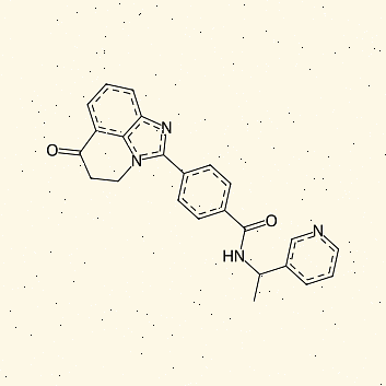 CC(NC(=O)c1ccc(-c2nc3cccc4c3n2CCC4=O)cc1)c1cccnc1